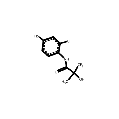 CC(O)(C(=O)Nc1ccc(S)cc1Cl)C(F)(F)F